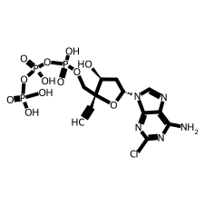 C#C[C@]1(COP(=O)(O)OP(=O)(O)OP(=O)(O)O)O[C@@H](n2cnc3c(N)nc(Cl)nc32)C[C@@H]1O